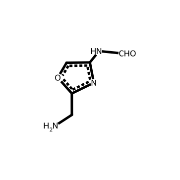 NCc1nc(NC=O)co1